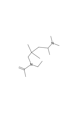 C=C(C)N(CC)CC(C)(C)CC(C)N(C)C